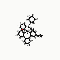 OC1(c2ccccc2Sc2ccccc2)c2ccccc2-c2ccccc2-c2cc(Br)ccc21